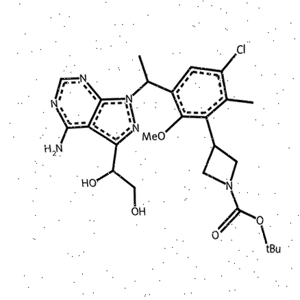 COc1c(C(C)n2nc(C(O)CO)c3c(N)ncnc32)cc(Cl)c(C)c1C1CN(C(=O)OC(C)(C)C)C1